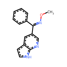 CO/N=C(\c1ccccc1)c1cnc2[nH]ccc2c1